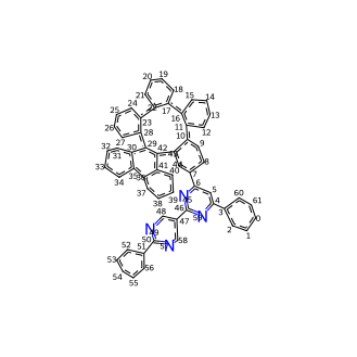 c1ccc(-c2cc(-c3ccc4c5ccccc5c5ccccc5c5ccccc5c5c6ccccc6c6ccccc6c5c4c3)nc(-c3cnc(-c4ccccc4)nc3)n2)cc1